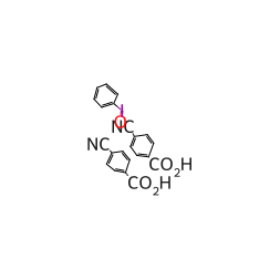 N#Cc1ccc(C(=O)O)cc1.N#Cc1ccc(C(=O)O)cc1.O=Ic1ccccc1